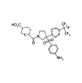 Nc1ccc(S(=O)(=O)C2(c3ccc(C(F)(C(F)(F)F)C(F)(F)F)cc3)CCN(C(=O)C3CCC(C(=O)O)CC3)C2)cc1